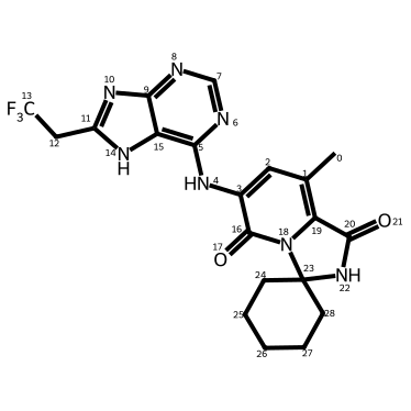 Cc1cc(Nc2ncnc3nc(CC(F)(F)F)[nH]c23)c(=O)n2c1C(=O)NC21CCCCC1